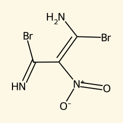 N=C(Br)/C(=C(\N)Br)[N+](=O)[O-]